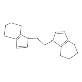 C1=CC2=C(CCCC2)[C]1CC[C]1C=CC2=C1CCCC2